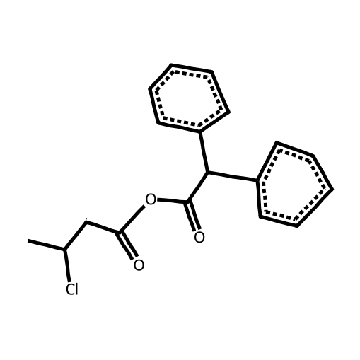 CC(Cl)[CH]C(=O)OC(=O)C(c1ccccc1)c1ccccc1